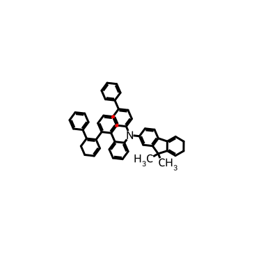 CC1(C)C2=CCCC=C2c2ccc(N(c3ccc(-c4ccccc4)cc3)c3ccccc3-c3ccccc3C3=C(c4ccccc4)CCC=C3)cc21